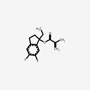 C=C(C)C(=O)OC1(CC)CCc2cc(F)c(F)cc21